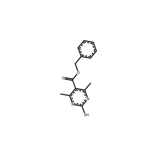 Cc1nc(S)nc(C)c1C(=O)OCc1ccccc1